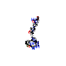 Cc1nc(Nc2ncc(C(=O)Nc3c(C)cccc3Cl)s2)cc(N2CCN(CCCCC(=O)N3CCN(c4ccc(N5CCC(=O)NC5=O)cc4)CC3)CC2)n1